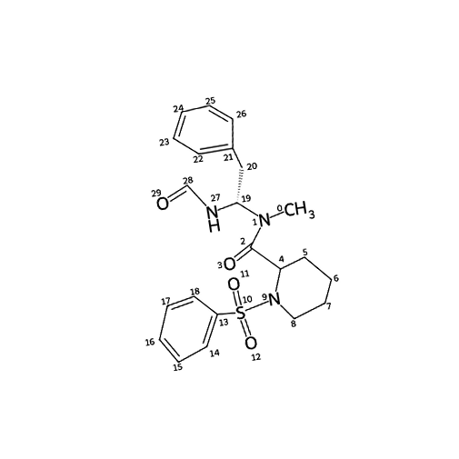 CN(C(=O)C1CCCCN1S(=O)(=O)c1ccccc1)[C@@H](Cc1ccccc1)NC=O